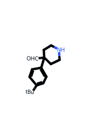 CC(C)(C)c1ccc(C2(C=O)CCNCC2)cc1